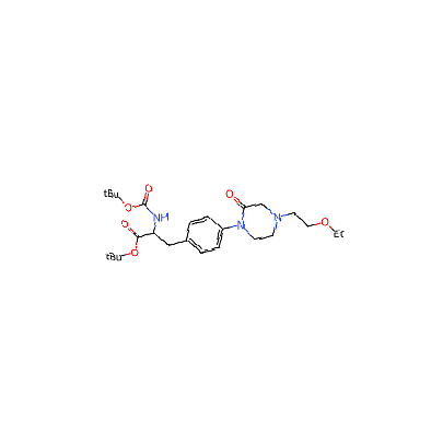 CCOCCN1CCN(c2ccc(CC(NC(=O)OC(C)(C)C)C(=O)OC(C)(C)C)cc2)C(=O)C1